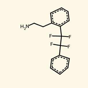 NCCc1ccccc1C(F)(F)C(F)(F)c1ccccc1